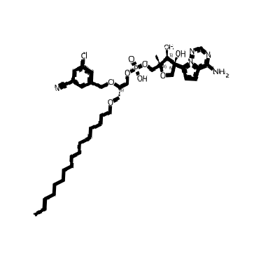 CCCCCCCCCCCCCCCCOC[C@@H](COP(=O)(O)OC[C@@]1(C)OC[C@@](O)(c2ccc3c(N)ncnn23)[C@@H]1O)OCc1cc(Cl)cc(C#N)c1